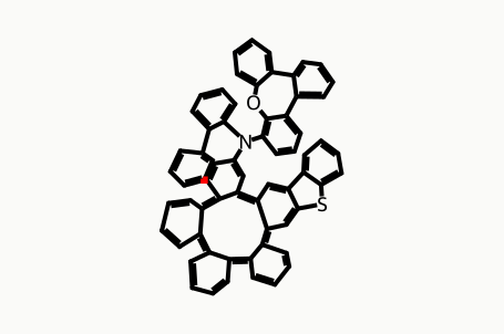 c1ccc(-c2ccccc2N(c2ccc3c4ccccc4c4ccccc4c4ccccc4c4cc5sc6ccccc6c5cc4c3c2)c2cccc3c2Oc2ccccc2-c2ccccc2-3)cc1